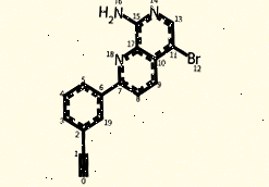 C#Cc1cccc(-c2ccc3c(Br)cnc(N)c3n2)c1